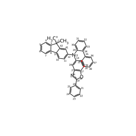 CC1(C)c2ccccc2-c2ccc(N(c3ccc4oc(-c5ccccc5)nc4c3)c3ccccc3-c3ccccc3)cc21